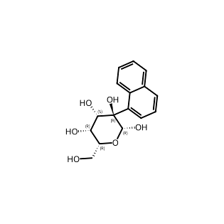 OC[C@H]1O[C@@H](O)[C@@](O)(c2cccc3ccccc23)[C@@H](O)[C@H]1O